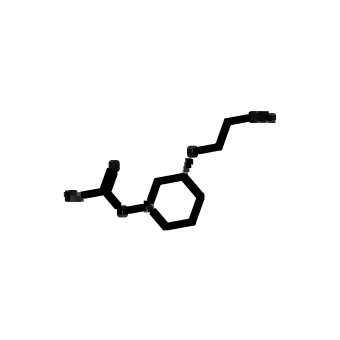 COCCO[C@@H]1CCCN(OC(=O)C(C)(C)C)C1